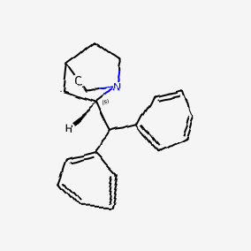 [CH]1C2CCN(CC2)[C@@H]1C(c1ccccc1)c1ccccc1